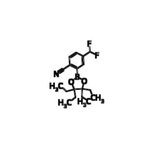 CCC1(CC)OB(c2cc(C(F)F)ccc2C#N)OC1(CC)CC